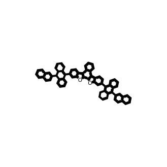 C1=CC2=C(c3ccc4c(c3)oc3c5oc6cc(-c7c8c(c(-c9ccc%10ccccc%10c9)c9ccccc79)C=CCC8)ccc6c5c5ccccc5c43)c3ccccc3C(c3ccc4ccccc4c3)C2C=C1